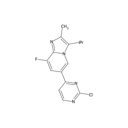 Cc1nc2c(F)cc(-c3ccnc(Cl)n3)cn2c1C(C)C